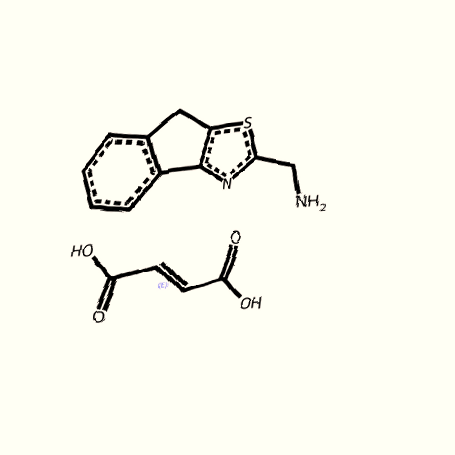 NCc1nc2c(s1)Cc1ccccc1-2.O=C(O)/C=C/C(=O)O